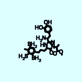 Bc1cc(CCCC(NC(=O)[C@@H](N)Cc2ccc(O)c(O)c2)C(=O)NC(C)C(=O)OC)c(B)c(B)c1C